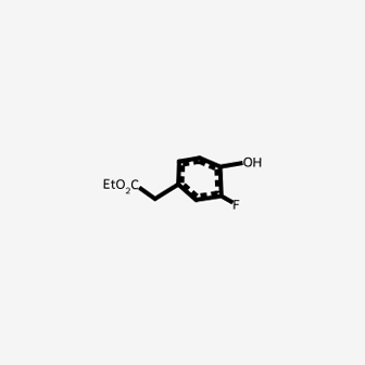 CCOC(=O)Cc1ccc(O)c(F)c1